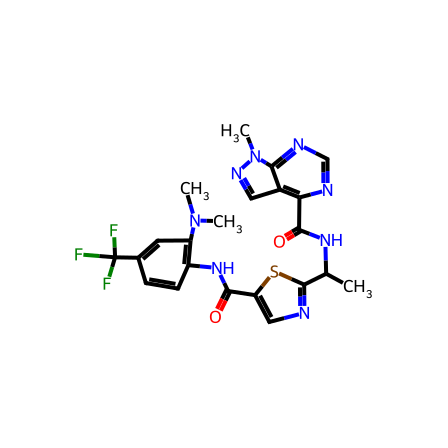 CC(NC(=O)c1ncnc2c1cnn2C)c1ncc(C(=O)Nc2ccc(C(F)(F)F)cc2N(C)C)s1